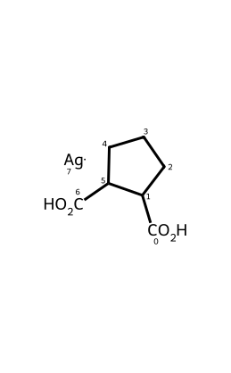 O=C(O)C1CCCC1C(=O)O.[Ag]